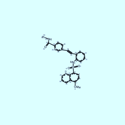 COc1ccc(S(=O)(=O)Nc2ccccc2C#Cc2ccc(C(=O)NC(C)C)nc2)c2ncccc12